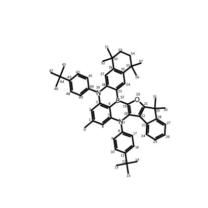 Cc1cc2c3c(c1)N(c1ccc(C(C)(C)C)cc1)c1c(oc4c1-c1ccccc1C4(C)C)B3c1cc3c(cc1N2c1ccc(C(C)(C)C)cc1)C(C)(C)CCC3(C)C